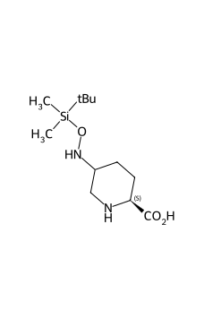 CC(C)(C)[Si](C)(C)ONC1CC[C@@H](C(=O)O)NC1